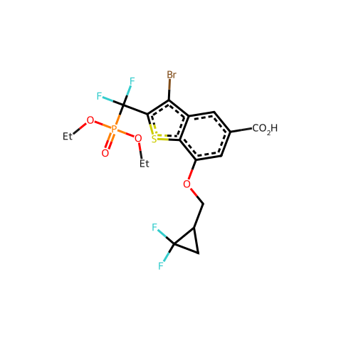 CCOP(=O)(OCC)C(F)(F)c1sc2c(OCC3CC3(F)F)cc(C(=O)O)cc2c1Br